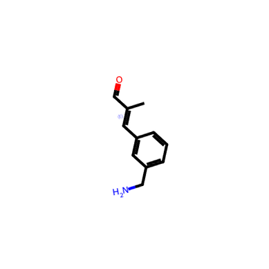 C/C(C=O)=C\c1cccc(CN)c1